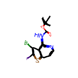 CC(C)(C)OC(=O)Nc1nccc2sc(I)c(Br)c12